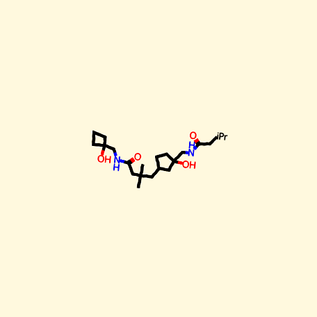 CC(C)CC(=O)NCC1(O)CCC(CC(C)(C)CC(=O)NCC2(O)CCC2)C1